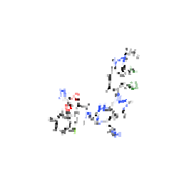 Cn1nc2ccc(-n3ncc4c(C#N)nc(N5CCC(OC(N)=O)(c6ccccc6F)CC5)nc43)c(Cl)c2c1Cl